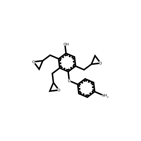 Nc1ccc(Oc2c(CC3CO3)cc(O)c(CC3CO3)c2CC2CO2)cc1